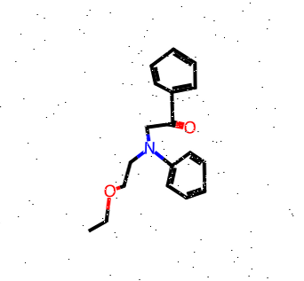 CCOCCN(CC(=O)c1ccccc1)c1ccccc1